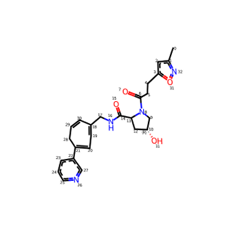 Cc1cc(CCC(=O)N2C[C@H](O)CC2C(=O)NCC2=CC=C(c3cccnc3)CC=C2)on1